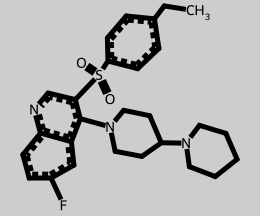 CCc1ccc(S(=O)(=O)c2cnc3ccc(F)cc3c2N2CCC(N3CCCCC3)CC2)cc1